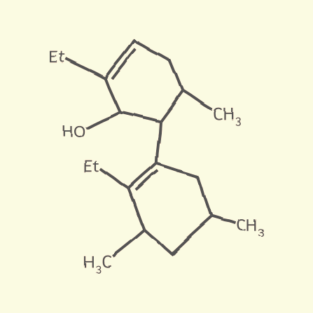 CCC1=CCC(C)C(C2=C(CC)C(C)CC(C)C2)C1O